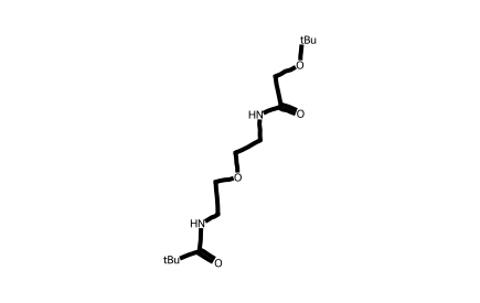 CC(C)(C)OCC(=O)NCCOCCNC(=O)C(C)(C)C